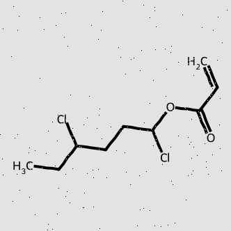 C=CC(=O)OC(Cl)CCC(Cl)CC